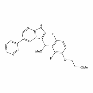 COCCOc1ccc(F)c(C(OC)c2c[nH]c3ncc(-c4cccnc4)cc23)c1F